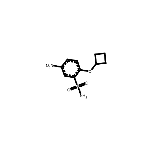 NS(=O)(=O)c1cc([N+](=O)[O-])ccc1OC1CCC1